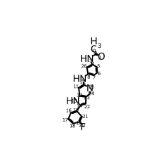 CC(=O)Nc1cccc(Nc2cc3[nH]c(-c4cccc(F)c4)cc3cn2)c1